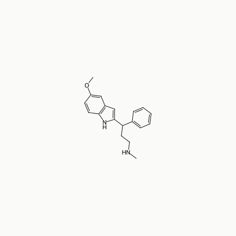 CNCCC(c1ccccc1)c1cc2cc(OC)ccc2[nH]1